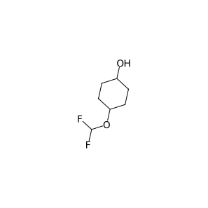 OC1CCC(OC(F)F)CC1